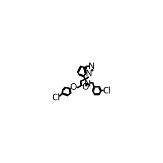 Clc1ccc(OCC2CC(Cn3ccnc3)(c3ccccc3)N(Cc3cccc(Cl)c3)O2)cc1